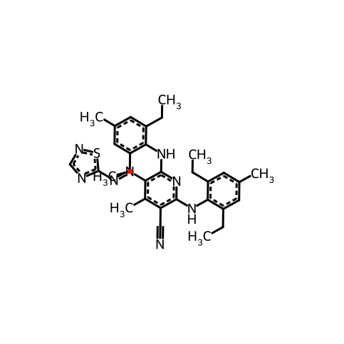 CCc1cc(C)cc(CC)c1Nc1nc(Nc2c(CC)cc(C)cc2CC)c(N=Nc2ncns2)c(C)c1C#N